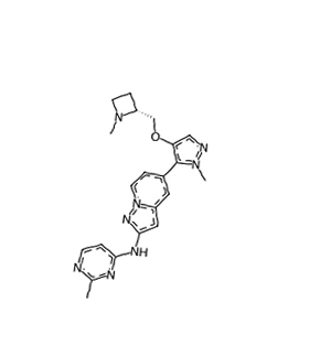 Cc1nccc(Nc2cc3cc(-c4c(OC[C@H]5CCN5C)cnn4C)ccn3n2)n1